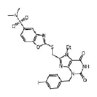 CCn1c(CSc2nc3cc(S(=O)(=O)N(C)C)ccc3o2)nc2c1c(=O)[nH]c(=O)n2Cc1ccc(I)cc1